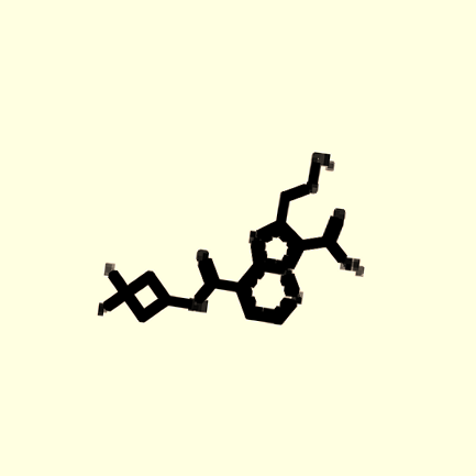 COCc1nc2c(C(=O)NC3CC(F)(F)C3)ccnn2c1C(N)=O